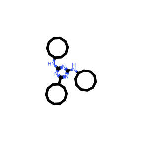 C1CCCCC(Nc2nc(NC3CCCCCCCCC3)nc(C3CCCCCCCCC3)n2)CCCC1